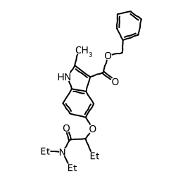 CCC(Oc1ccc2[nH]c(C)c(C(=O)OCc3ccccc3)c2c1)C(=O)N(CC)CC